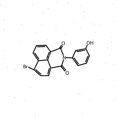 O=C1c2cccc3c(Br)ccc(c23)C(=O)N1c1cccc(O)c1